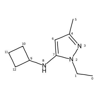 CCn1nc(C)cc1NC1CCC1